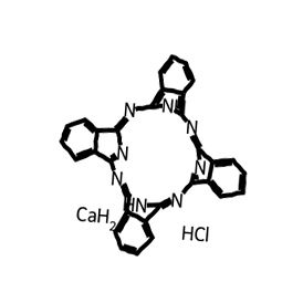 Cl.[CaH2].c1ccc2c(c1)-c1nc-2nc2[nH]c(nc3nc(nc4[nH]c(n1)c1ccccc41)-c1ccccc1-3)c1ccccc21